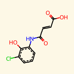 O=C(O)C=CC(=O)Nc1cccc(Cl)c1O